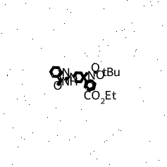 CCOC(=O)c1ccc2c(c1)C1(CCN(c3nc4c(c(=O)[nH]3)CCCC4)CC1)CN2C(=O)OC(C)(C)C